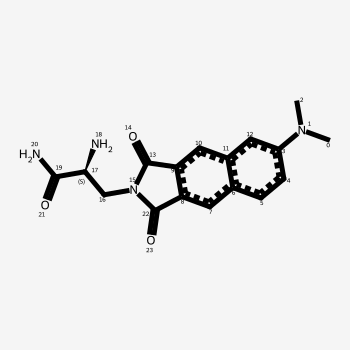 CN(C)c1ccc2cc3c(cc2c1)C(=O)N(C[C@H](N)C(N)=O)C3=O